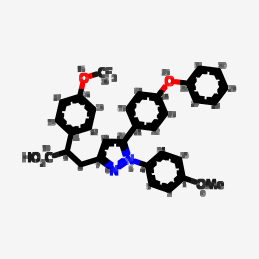 COc1ccc(-n2nc(CC(C(=O)O)c3ccc(OC(F)(F)F)cc3)cc2-c2ccc(Oc3ccccc3)cc2)cc1